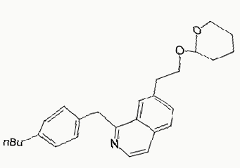 CCCCc1ccc(Cc2nccc3ccc(CCOC4CCCCO4)cc23)cc1